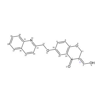 O=C1/C(=C/O)COc2ccc(OCc3ccc4ccccc4n3)cc21